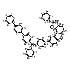 c1ccc(-c2ccc(-c3ccc(N(c4ccccc4)c4ccc(-c5ccc6oc7ccc8nc(-c9ccccc9)oc8c7c6c5)cc4)cc3)cc2)cc1